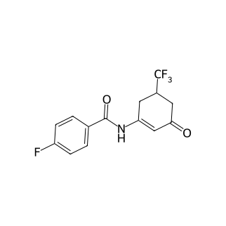 O=C1C=C(NC(=O)c2ccc(F)cc2)CC(C(F)(F)F)C1